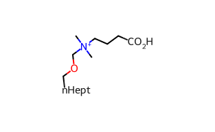 CCCCCCCCOC[N+](C)(C)CCCC(=O)O